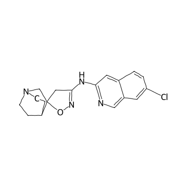 Clc1ccc2cc(NC3=NOC4(C3)CN3CCC4CC3)ncc2c1